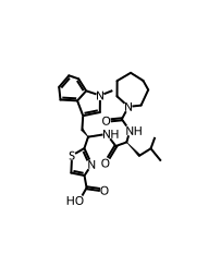 CC(C)C[C@H](NC(=O)N1CCCCCC1)C(=O)N[C@H](Cc1cn(C)c2ccccc12)c1nc(C(=O)O)cs1